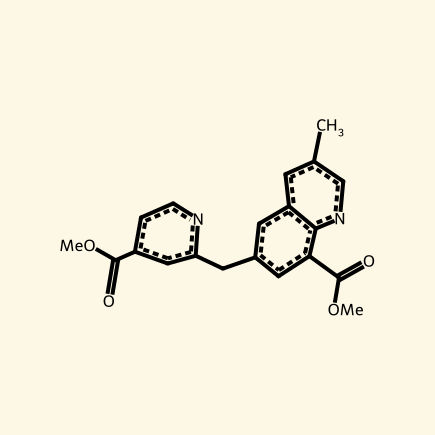 COC(=O)c1ccnc(Cc2cc(C(=O)OC)c3ncc(C)cc3c2)c1